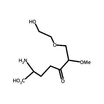 COC(COCCO)C(=O)CCC(N)C(=O)O